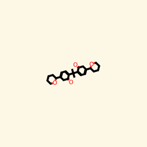 CC(C)(C1=CC=C(C2CCCCO2)CC1=O)C1=CC=C(C2CCCCO2)CC1=O